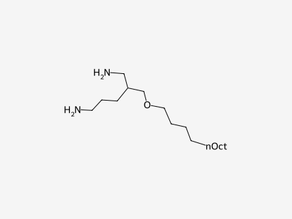 CCCCCCCCCCCCOCC(CN)CCCN